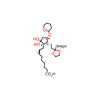 CCCCCCCC1(CC[C@@H]2[C@@H](C/C=C\CCCCCC(=O)O)C(O)(O)C[C@H]2OC2CCCCO2)OCCO1